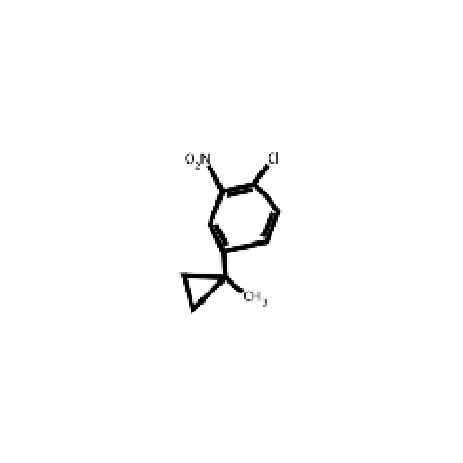 CC1(c2ccc(Cl)c([N+](=O)[O-])c2)CC1